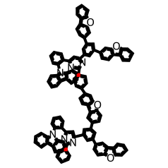 c1ccc(-c2nc(-c3cc(-c4ccc5oc6ccccc6c5c4)cc(-c4ccc5oc6cc(-c7ccc(-c8nc(-c9cc(-c%10ccc%11c(c%10)oc%10ccccc%10%11)cc(-c%10ccc%11c(c%10)oc%10ccccc%10%11)c9)cc(-c9ccccc9-n9c%10ccccc%10c%10ccccc%109)n8)cc7)ccc6c5c4)c3)cc(-c3ccccc3-n3c4ccccc4c4ccccc43)n2)cc1